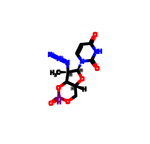 C[C@@]1(N=[N+]=[N-])C2O[PH](=O)OC[C@H]2O[C@H]1n1ccc(=O)[nH]c1=O